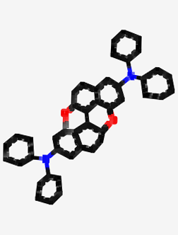 c1ccc(N(c2ccccc2)c2cc3ccc4oc5cc(N(c6ccccc6)c6ccccc6)cc6ccc7oc(c2)c3c4-c7c65)cc1